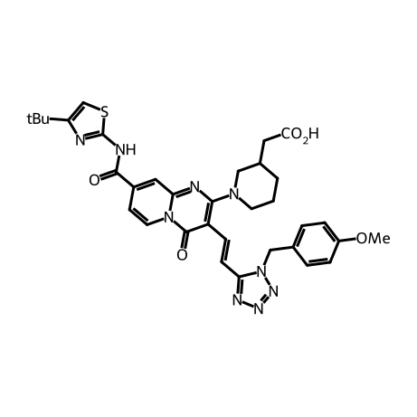 COc1ccc(Cn2nnnc2C=Cc2c(N3CCCC(CC(=O)O)C3)nc3cc(C(=O)Nc4nc(C(C)(C)C)cs4)ccn3c2=O)cc1